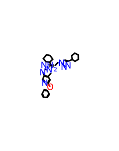 NC1=Nc2cnc(Oc3ccccc3)cc2CN1[C@@H](CCn1cc(C2CCCCC2)nn1)C1CCCCC1